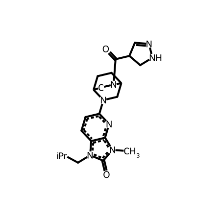 CC(C)Cn1c(=O)n(C)c2nc(N3CC4CCC3CN4C(=O)C3C=NNC3)ccc21